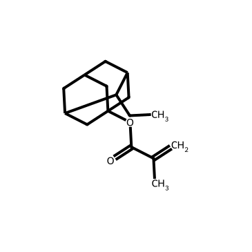 C=C(C)C(=O)OC12CC3CC(C1)C(CC)C(C3)C2